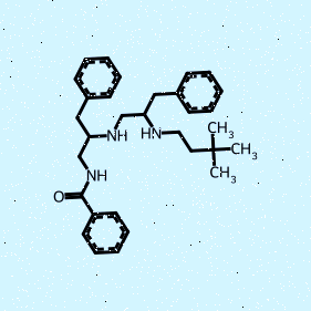 CC(C)(C)CCNC(CNC(CNC(=O)c1ccccc1)Cc1ccccc1)Cc1ccccc1